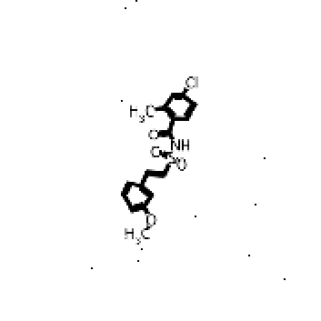 COc1cccc(C=CS(=O)(=O)NC(=O)c2ccc(Cl)cc2C)c1